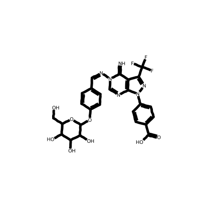 N=c1c2c(C(F)(F)F)nn(-c3ccc(C(=O)O)cc3)c2ncn1/N=C\c1ccc(OC2OC(CO)C(O)C(O)C2O)cc1